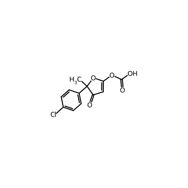 CC1(c2ccc(Cl)cc2)OC(OC(=O)O)=CC1=O